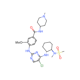 COc1cc(C(=O)NC2CCN(C)CC2)ccc1Nc1ncc(Cl)c(N[C@@H]2CCCC[C@H]2N(C)S(C)(=O)=O)n1